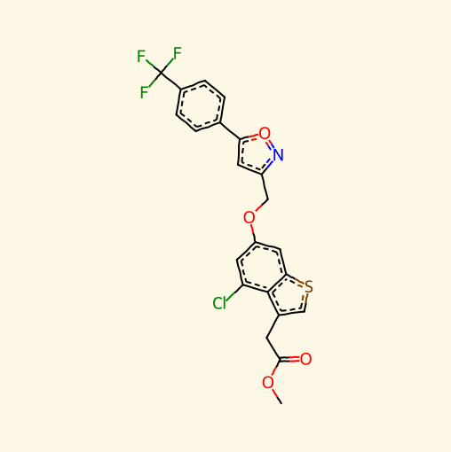 COC(=O)Cc1csc2cc(OCc3cc(-c4ccc(C(F)(F)F)cc4)on3)cc(Cl)c12